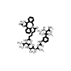 CN[C@H](C(N)=O)C(C)(C)c1cccc(NC(=O)OC(C)NC(=O)[C@H](C)NC(=O)[C@@H](NC(=O)CCCCC(=O)N2Cc3ccccc3/C(N)=C(/N=N)c3ccccc32)C(C)C)c1